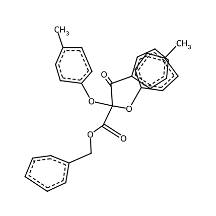 Cc1ccc(OC(Oc2ccc(C)cc2)(C(=O)OCc2ccccc2)C(=O)c2ccccc2)cc1